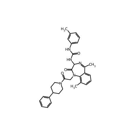 CC1=NC(NC(=O)Nc2cccc(C)c2)C(=O)N(CC(=O)N2CCC(c3ccccc3)CC2)c2c(C)cccc21